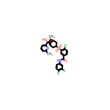 Cc1cccc([C@H](O)[C@@]2(O)C3CC(S(=O)(=O)c4cc(C(=O)Nc5ccc(F)c(F)c5)ccc4Cl)CC2[C@@H](C)C3)n1